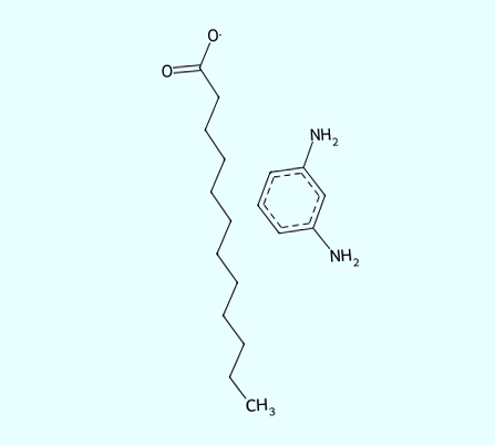 CCCCCCCCCCCC([O])=O.Nc1cccc(N)c1